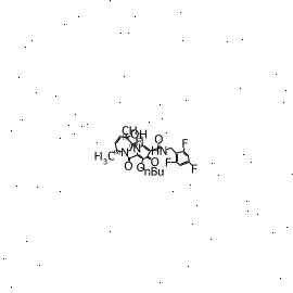 CCCCOc1c2n(cc(C(=O)NCc3c(F)cc(F)cc3F)c1=O)[C@@H]1CN(C2=O)[C@@H](C)C=C[C@]1(C)O